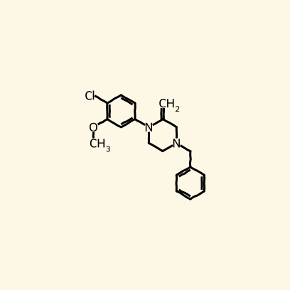 C=C1CN(Cc2ccccc2)CCN1c1ccc(Cl)c(OC)c1